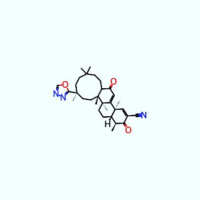 C[C@@H]1C(=O)C(C#N)=C[C@]2(C)C3=CC(=O)C4CCC(C)(C)CC[C@](C)(c5nnco5)CC[C@@]4(C)[C@]3(C)CC[C@@H]12